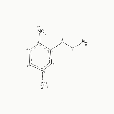 CC(=O)CCc1cc(C)ccc1[N+](=O)[O-]